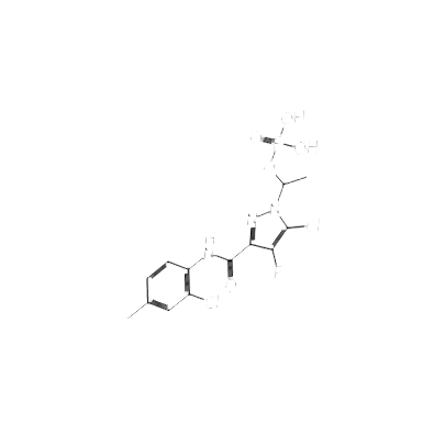 Cc1ccc(NC(=O)c2nn(C(C)OP(=O)(O)O)c(Cl)c2F)c(Cl)c1